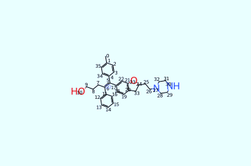 Cc1ccc(/C(=C(\CCCO)c2ccccc2)c2ccc3c(c2)OC(CCN2CCNCC2)C3)cc1